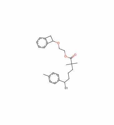 CCC(CCCC(C)(C)C(=O)OCCOC1Cc2ccccc21)c1ccc(C)cc1